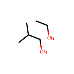 CC(C)CO.CCO